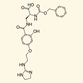 O=C(N[C@@H](CNC(=O)c1ccc(OCCNC2=NCCN2)cc1O)C(=O)O)OCc1ccccc1